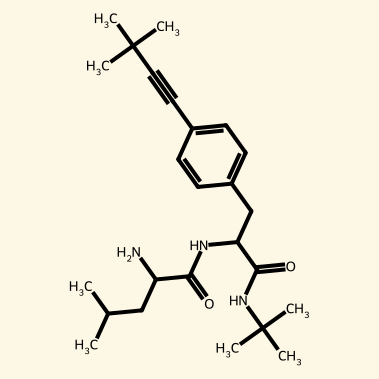 CC(C)CC(N)C(=O)NC(Cc1ccc(C#CC(C)(C)C)cc1)C(=O)NC(C)(C)C